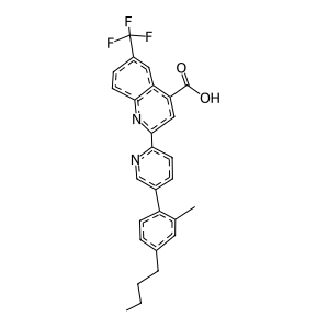 CCCCc1ccc(-c2ccc(-c3cc(C(=O)O)c4cc(C(F)(F)F)ccc4n3)nc2)c(C)c1